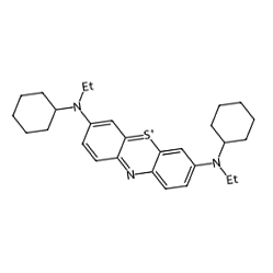 CCN(c1ccc2nc3ccc(N(CC)C4CCCCC4)cc3[s+]c2c1)C1CCCCC1